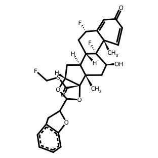 C[C@]12C=CC(=O)C=C1[C@@H](F)C[C@H]1[C@@H]3C[C@H]4OC(C5Cc6ccccc6O5)O[C@@]4(C(=O)SCF)[C@@]3(C)C[C@H](O)[C@@]12F